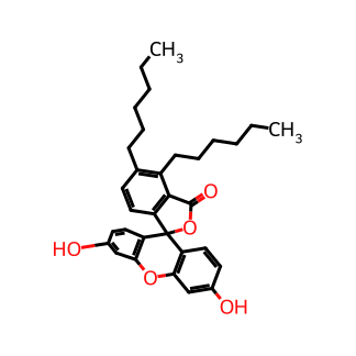 CCCCCCc1ccc2c(c1CCCCCC)C(=O)OC21c2ccc(O)cc2Oc2cc(O)ccc21